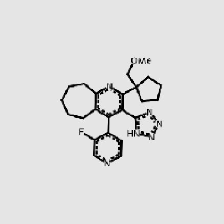 COCC1(c2nc3c(c(-c4ccncc4F)c2-c2nnn[nH]2)CCCCC3)CCCC1